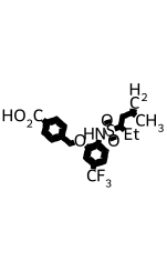 C=C(C)CC(CC)S(=O)(=O)Nc1ccc(C(F)(F)F)cc1OCc1ccc(C(=O)O)cc1